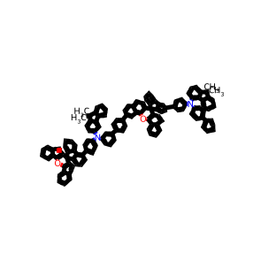 CC1(C)c2ccccc2-c2cc(N(c3ccc(-c4cccc5c4-c4ccccc4C54c5ccc6ccccc6c5Oc5c4ccc4ccccc54)cc3)c3cccc(-c4ccc(-c5ccc6ccc7c(c6c5)Oc5c(ccc6ccccc56)C75c6ccccc6-c6cc(-c7ccc(N(c8ccc(-c9ccccc9)cc8)c8cccc9c8-c8ccccc8C9(C)C)cc7)ccc65)cc4)c3)ccc21